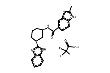 Cc1nc2cc(C(=O)N[C@@H]3CCC[C@H](c4nc5ccccc5[nH]4)C3)ccc2[nH]1.O=C(O)C(F)(F)F